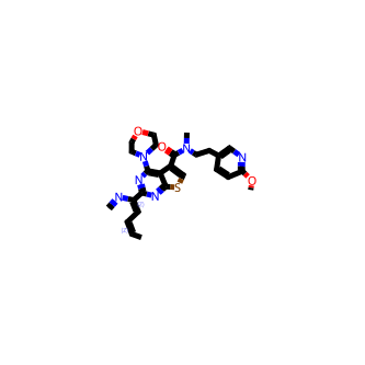 C=N/C(=C\C=C/C)c1nc(N2CCOCC2)c2c(C(=O)N(C)CCc3ccc(OC)nc3)csc2n1